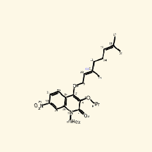 CCCCCCn1c(=O)c(OC(C)C)c(OC/C=C(\C)CCC=C(C)C)c2ccc([N+](=O)[O-])cc21